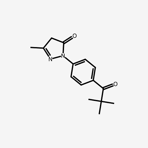 CC1=NN(c2ccc(C(=O)C(C)(C)C)cc2)C(=O)C1